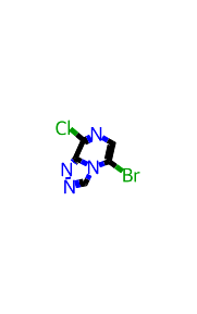 Clc1ncc(Br)n2cnnc12